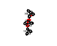 OC1(c2ccc(-c3ccc(C4(C5(c6ccc(-c7ccc(C8(O)c9ccccc9Oc9ccccc98)cc7)cc6)c6ccccc6Oc6ccccc65)c5ccccc5Oc5ccccc54)cc3)cc2)c2ccccc2Oc2ccccc21